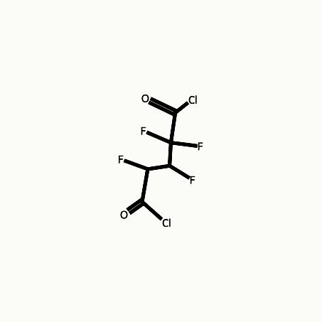 O=C(Cl)C(F)C(F)C(F)(F)C(=O)Cl